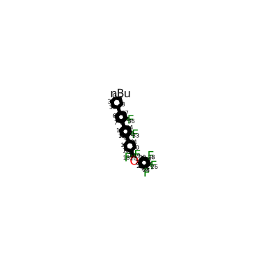 CCCCC1CCC(c2ccc(-c3ccc(C4CCC(C(F)(F)Oc5cc(F)c(F)c(F)c5)CC4)c(F)c3)c(F)c2)CC1